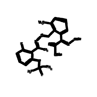 CO/N=C(/C(=O)OC)c1cccc(C)c1CO/N=C(\C)c1c(F)cccc1OC(F)(P)P